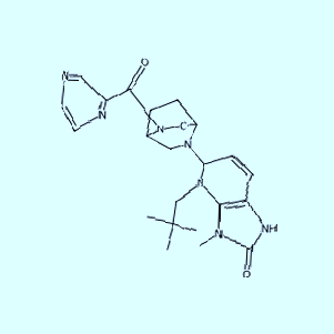 Cn1c2c([nH]c1=O)C=CC(N1CC3CCC1CN3C(=O)c1cnccn1)N2CC(C)(C)C